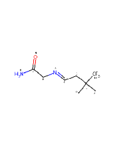 CC(C)(C/C=N/CC(N)=O)C(F)(F)F